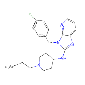 Fc1ccc(Cn2c(NC3CCN(CC[AsH2])CC3)nc3cccnc32)cc1